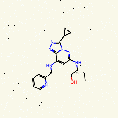 CC[C@H](CO)Nc1cc(NCc2ccccn2)c2nnc(C3CC3)n2n1